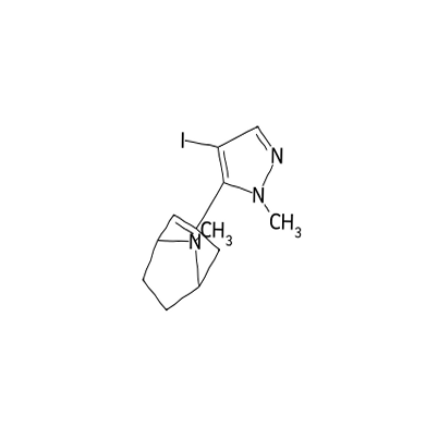 CN1C2C=C(c3c(I)cnn3C)CC1CC2